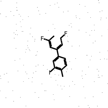 C/C(F)=C\C(=C/CF)c1ccc(C)c(I)c1